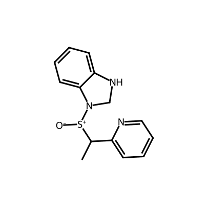 CC(c1ccccn1)[S+]([O-])N1CNc2ccccc21